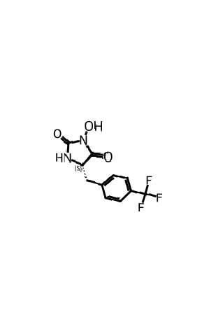 O=C1N[C@@H](Cc2ccc(C(F)(F)F)cc2)C(=O)N1O